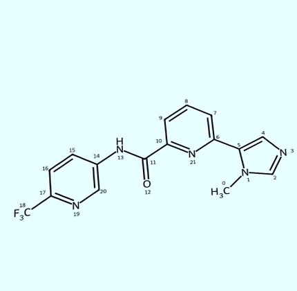 Cn1cncc1-c1cccc(C(=O)Nc2ccc(C(F)(F)F)nc2)n1